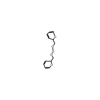 C1=COC(COOOCC2C=CC=CO2)C=C1